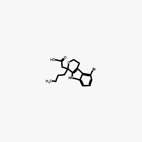 CCCCC1(CC(=O)O)OCCc2c1[nH]c1cccc(Br)c21